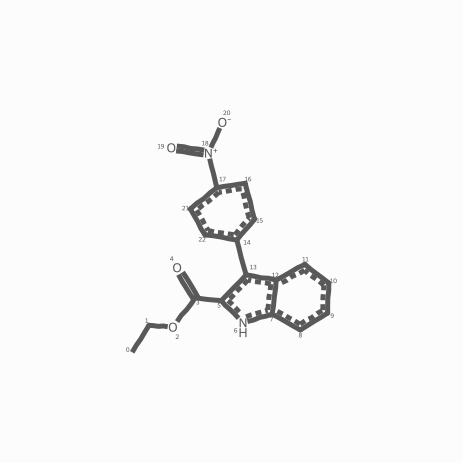 CCOC(=O)c1[nH]c2ccccc2c1-c1ccc([N+](=O)[O-])cc1